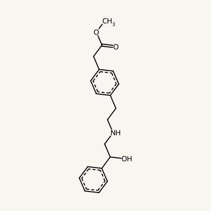 COC(=O)Cc1ccc(CCNCC(O)c2ccccc2)cc1